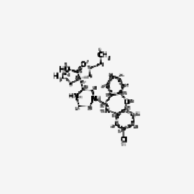 CCCC[C@](CC)(C(=O)O)C1CN(C2=Nc3cc(Cl)ccc3Oc3ccccc32)CCN1